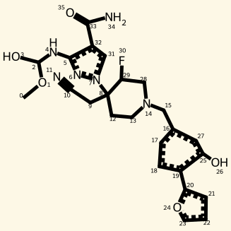 COC(O)Nc1nn(C2(CC#N)CCN(Cc3ccc(-c4ccco4)c(O)c3)CC2F)cc1C(N)=O